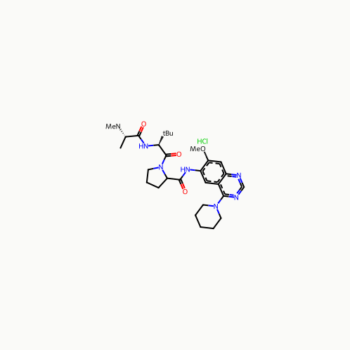 CN[C@@H](C)C(=O)N[C@H](C(=O)N1CCCC1C(=O)Nc1cc2c(N3CCCCC3)ncnc2cc1OC)C(C)(C)C.Cl